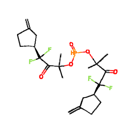 C=C1CC[C@H](C(F)(F)C(=O)C(C)(C)O[PH](=O)OC(C)(C)C(=O)C(F)(F)[C@H]2CCC(=C)C2)C1